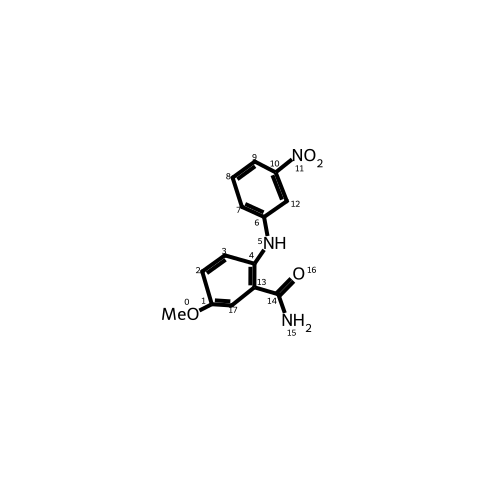 COc1ccc(Nc2cccc([N+](=O)[O-])c2)c(C(N)=O)c1